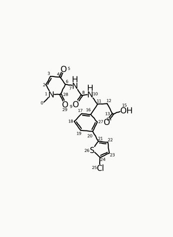 CN1C=CC(=O)C(NC(=O)NC(CC(=O)O)c2cccc(-c3ccc(Cl)s3)c2)C1=O